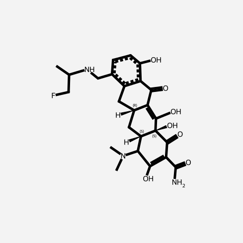 CC(CF)NCc1ccc(O)c2c1C[C@H]1C[C@H]3C(N(C)C)C(O)=C(C(N)=O)C(=O)[C@@]3(O)C(O)=C1C2=O